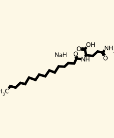 CCCCCCCCCCCCCCCC(=O)NC(CCC(N)=O)C(=O)O.[NaH]